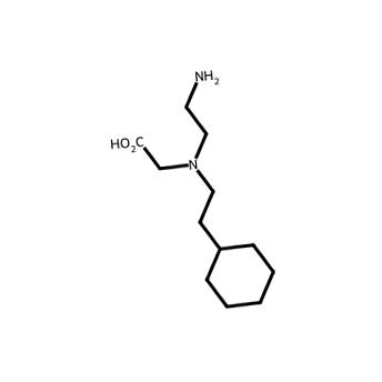 NCCN(CCC1CCCCC1)CC(=O)O